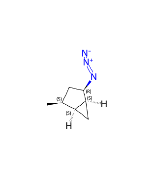 C[C@H]1C[C@@H](N=[N+]=[N-])[C@H]2C[C@H]21